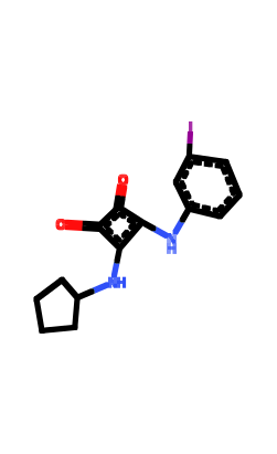 O=c1c(Nc2cccc(I)c2)c(NC2CCCC2)c1=O